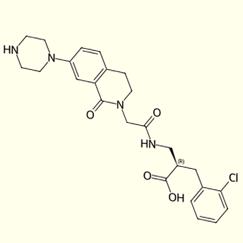 O=C(CN1CCc2ccc(N3CCNCC3)cc2C1=O)NC[C@@H](Cc1ccccc1Cl)C(=O)O